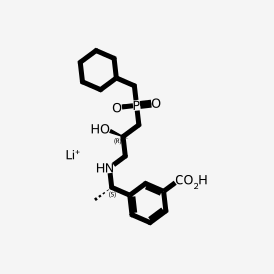 C[C@H](NC[C@@H](O)CP(=O)([O-])CC1CCCCC1)c1cccc(C(=O)O)c1.[Li+]